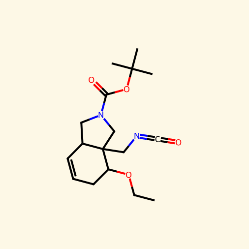 CCOC1CC=CC2CN(C(=O)OC(C)(C)C)CC21CN=C=O